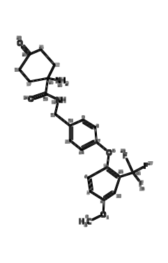 COc1ccc(Oc2ccc(CNC(=O)C3(N)CCC(=O)CC3)cc2)c(C(F)(F)F)c1